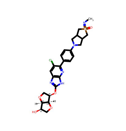 CN=S1(=O)CC2CN(c3ccc(-c4nc5[nH]c(O[C@@H]6CO[C@H]7[C@@H]6OC[C@H]7O)nc5cc4Cl)cc3)CC2C1